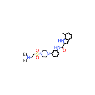 CCN(CC)CCS(=O)(=O)N1CCN(c2cccc(NC(=O)c3cc4cccc(C)c4[nH]3)c2)CC1